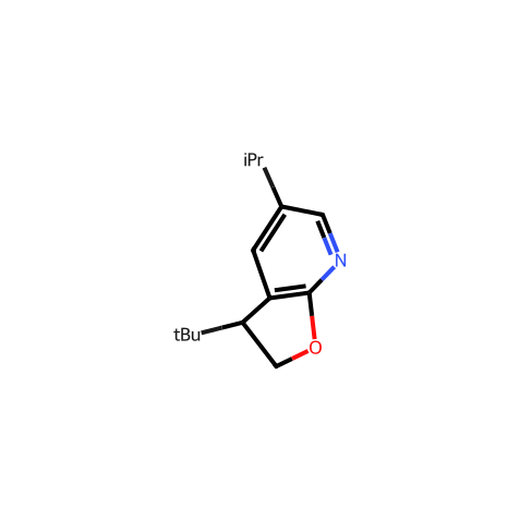 CC(C)c1cnc2c(c1)C(C(C)(C)C)CO2